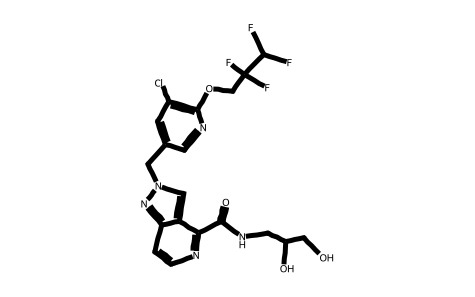 O=C(NCC(O)CO)c1nccc2nn(Cc3cnc(OCC(F)(F)C(F)F)c(Cl)c3)cc12